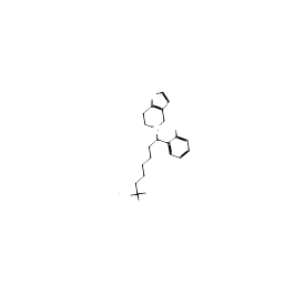 CC(=O)C(C)(C)CCCCCC(c1ccccc1Cl)N1CCc2sccc2C1